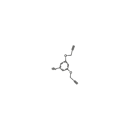 C#CCOc1cc(OCC#C)cc(C(C)(C)C)c1